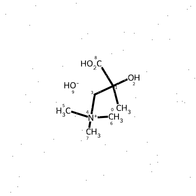 CC(O)(C[N+](C)(C)C)C(=O)O.[OH-]